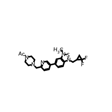 CC(=O)N1CCN(Cc2ccc(-c3ccc4c(c3)N(C)SN4CC3CC3(F)F)cn2)CC1